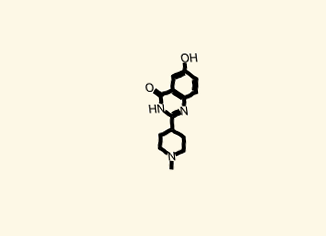 CN1CCC(c2nc3ccc(O)cc3c(=O)[nH]2)CC1